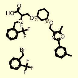 Cc1cccc(-c2nc(CO[C@H]3CCC[C@@H](OCC(OCc4ccccc4C(F)(F)F)C(=O)O)C3)c(C)o2)c1.FC(F)(F)c1ccccc1CBr